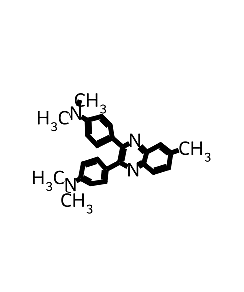 Cc1ccc2nc(-c3ccc(N(C)C)cc3)c(-c3ccc(N(C)C)cc3)nc2c1